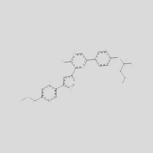 CNCc1ccc(-c2cc(-c3nc(-c4ccc(SC(C)CCF)cc4)cnc3N)on2)cc1